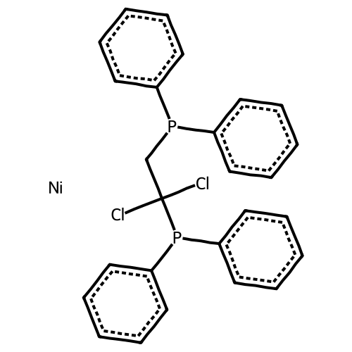 ClC(Cl)(CP(c1ccccc1)c1ccccc1)P(c1ccccc1)c1ccccc1.[Ni]